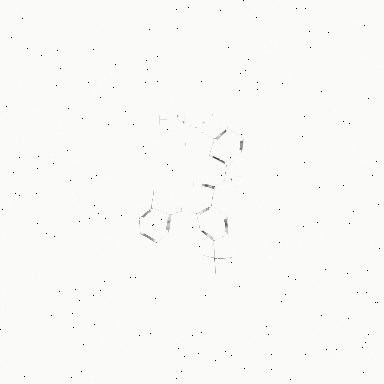 Cc1ccccc1Oc1cc(C(C)(C)C)ccc1C(=O)Nc1cccc(S(N)(=O)=O)c1